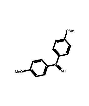 COc1ccc(S(=N)c2ccc(OC)cc2)cc1